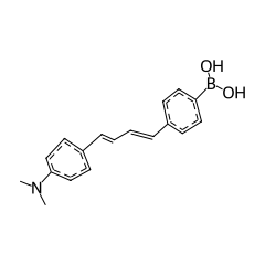 CN(C)c1ccc(C=CC=Cc2ccc(B(O)O)cc2)cc1